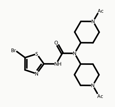 CC(=O)N1CCC(N(C(=O)Nc2ncc(Br)s2)C2CCN(C(C)=O)CC2)CC1